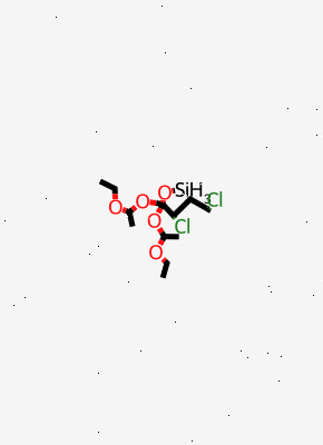 CCOC(C)OC(O[SiH3])(OC(C)OCC)C(Cl)CCCl